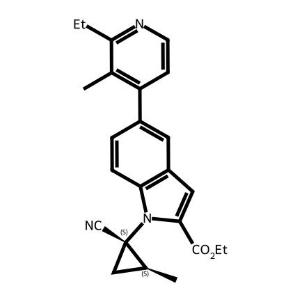 CCOC(=O)c1cc2cc(-c3ccnc(CC)c3C)ccc2n1[C@@]1(C#N)C[C@@H]1C